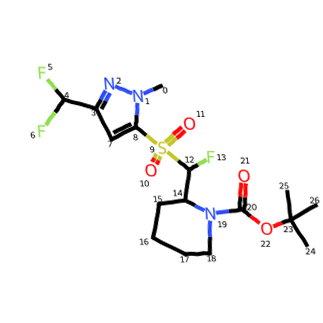 Cn1nc(C(F)F)cc1S(=O)(=O)C(F)C1CCCCN1C(=O)OC(C)(C)C